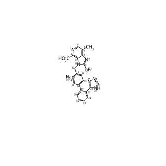 CCCc1nc2c(C)cnc(C(=O)O)c2n1Cc1ccc(-c2ccccc2-c2nnn[nH]2)cc1.[NaH]